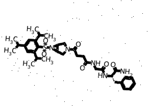 CC(C)c1cc(C(C)C)c(S(=O)(=O)N2C3CN(C(=O)CCC(=O)NCC(=O)N[C@@H](Cc4ccccc4)C(N)=O)CC32)c(C(C)C)c1